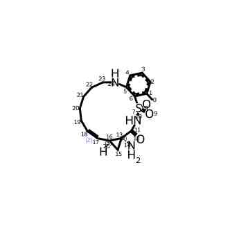 Cc1cccc2c1S(=O)(=O)NC(=O)[C@@]1(N)C[C@H]1/C=C\CCCCCN2